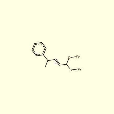 CC(C)OC(/C=C/C(C)c1ccccc1)OC(C)C